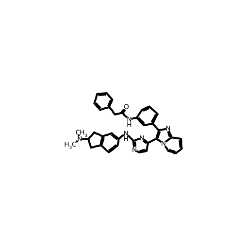 CN(C)C1Cc2ccc(Nc3nccc(-c4c(-c5cccc(NC(=O)Cc6ccccc6)c5)nc5ccccn45)n3)cc2C1